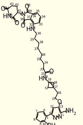 Nc1nnc(-c2ccccc2O)cc1OCCC12CC(NC(=O)CCCCCCCCNc3cccc4c3C(=O)N(C3CCC(=O)NC3=O)C4=O)(C1)C2